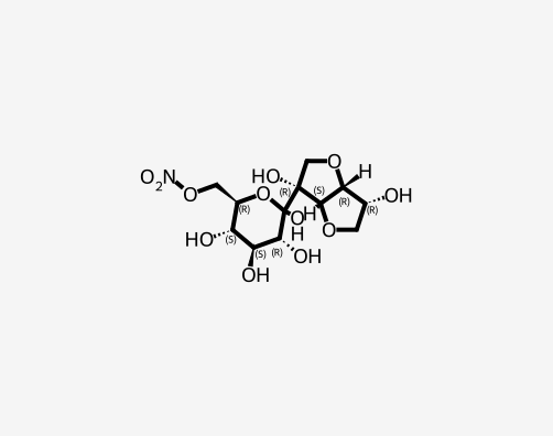 O=[N+]([O-])OC[C@H]1OC(O)([C@@]2(O)CO[C@@H]3[C@H](O)CO[C@@H]32)[C@H](O)[C@@H](O)[C@@H]1O